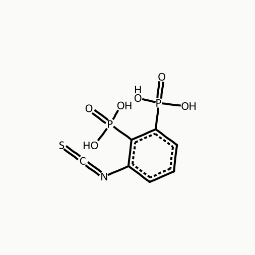 O=P(O)(O)c1cccc(N=C=S)c1P(=O)(O)O